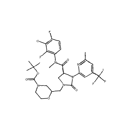 Cc1cc(C(F)(F)F)cc(N2C(=O)N(CC3CN(C(=O)OC(C)(C)C)CCO3)CC2C(=O)N(C)c2ccc(F)c(Cl)c2F)n1